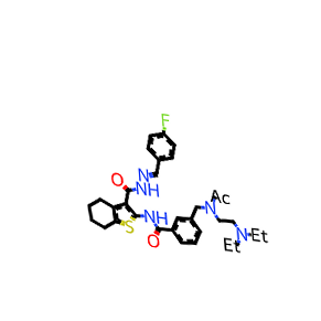 CCN(CC)CCN(Cc1cccc(C(=O)Nc2sc3c(c2C(=O)N/N=C/c2ccc(F)cc2)CCCC3)c1)C(C)=O